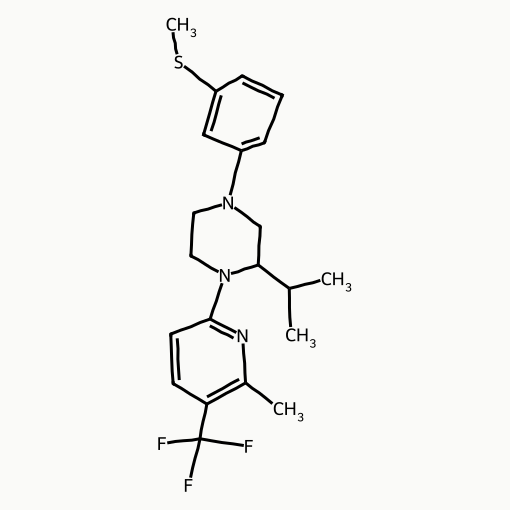 CSc1cccc(N2CCN(c3ccc(C(F)(F)F)c(C)n3)C(C(C)C)C2)c1